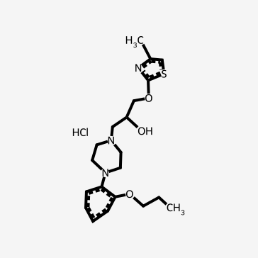 CCCOc1ccccc1N1CCN(CC(O)COc2nc(C)cs2)CC1.Cl